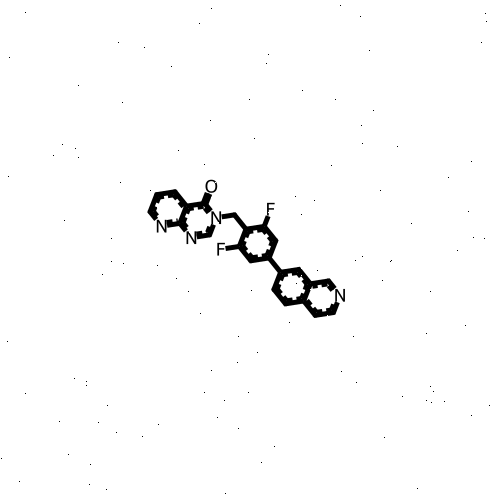 O=c1c2cccnc2ncn1Cc1c(F)cc(-c2ccc3ccncc3c2)cc1F